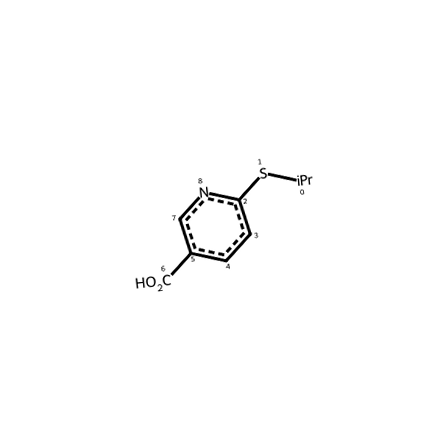 CC(C)Sc1ccc(C(=O)O)cn1